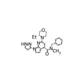 CC[C@@H]1COCCN1c1cc(C(=O)N(C)Cc2ccccc2)c2ccn(-c3cc[nH]n3)c2n1